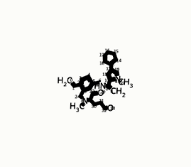 C=Cc1ccc(CNC(=C)c2cc(C3=CCCC=C3)cn2C)cc1CN(C)C(C=O)CCC=O